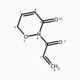 C=CC(=O)N1OCC=CC1=O